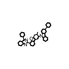 CC1Cc2oc3c(-c4nc(-c5ccccc5)c5ccccc5n4)cccc3c2C=C1n1c2ccccc2c2cc(-c3ccccc3)ccc21